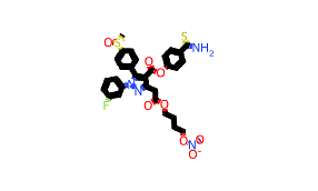 C[S+]([O-])c1ccc(-c2c(C(=O)Oc3ccc(C(N)=S)cc3)c(CC(=O)OCCCCO[N+](=O)[O-])nn2-c2cccc(F)c2)cc1